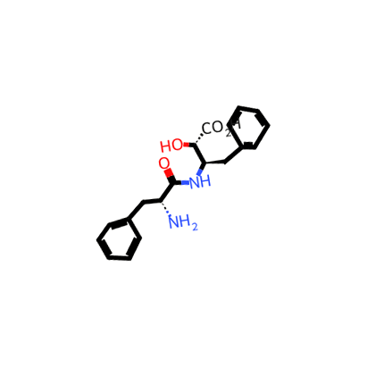 N[C@H](Cc1ccccc1)C(=O)N[C@H](Cc1ccccc1)[C@H](O)C(=O)O